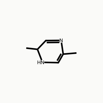 CC1=CNC(C)C=N1